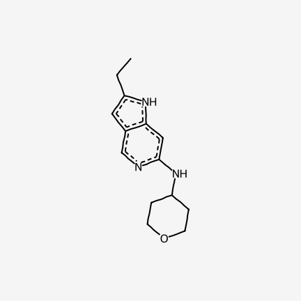 CCc1cc2cnc(NC3CCOCC3)cc2[nH]1